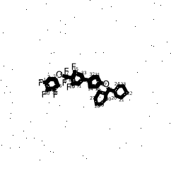 Fc1cc(OC(F)(F)c2c(F)cc(-c3ccc(OC(C4CCCCC4)C4CCCCC4)cc3)cc2F)cc(F)c1F